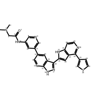 CN(C)CC(=O)Nc1cncc(-c2cnc3[nH]nc(-c4cc5c(-c6ccsc6)nccc5[nH]4)c3c2)c1